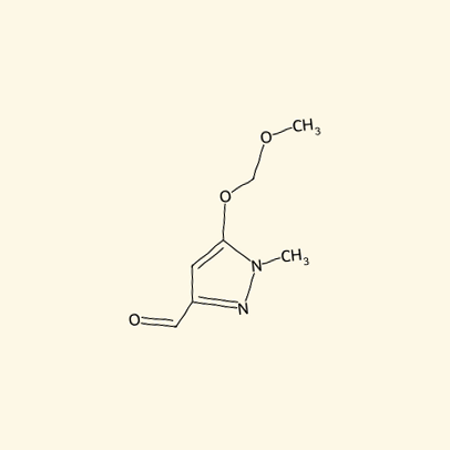 COCOc1cc(C=O)nn1C